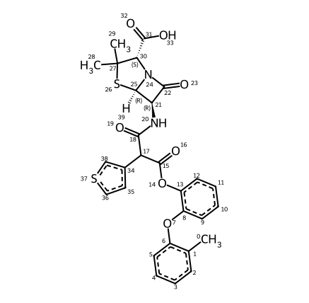 Cc1ccccc1Oc1ccccc1OC(=O)C(C(=O)N[C@@H]1C(=O)N2[C@@H]1SC(C)(C)[C@@H]2C(=O)O)c1ccsc1